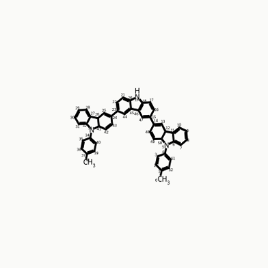 Cc1ccc(N2c3ccccc3C3C=C(c4ccc5[nH]c6ccc(C7=CC8c9ccccc9N(c9ccc(C)cc9)C8C=C7)cc6c5c4)C=CC32)cc1